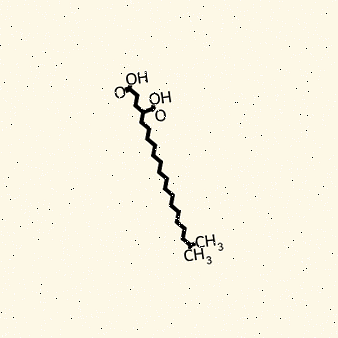 CC(C)CCCCCCCCCCCCCCCC(CCC(=O)O)C(=O)O